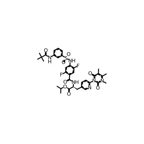 Cc1c(C)n(C)c(=O)n(-c2ccc(C[C@H](NC(=O)c3cc(F)c(NS(=O)(=O)c4cccc(NC(=O)C(C)(C)C)c4)cc3F)C(=O)OC(C)C)cn2)c1=O